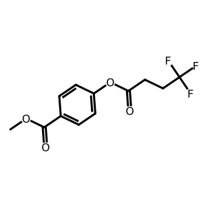 COC(=O)c1ccc(OC(=O)CCC(F)(F)F)cc1